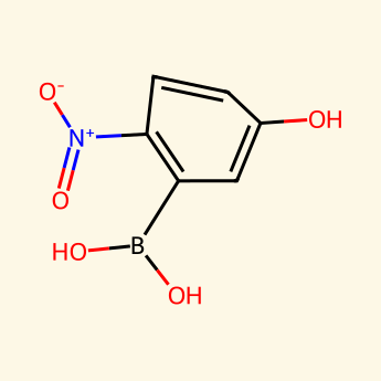 O=[N+]([O-])c1ccc(O)cc1B(O)O